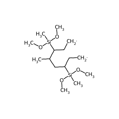 [CH2]CC(CC(C)C(C[CH2])[Si](C)(OC)OC)[Si](C)(OC)OC